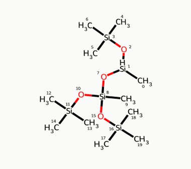 C[SiH](O[Si](C)(C)C)O[Si](C)(O[Si](C)(C)C)O[Si](C)(C)C